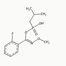 CO/N=C(\OP(=O)(O)CC(C)C)c1ccccc1F